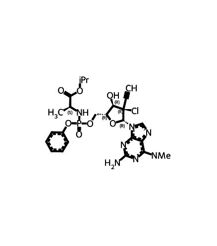 C#C[C@@]1(Cl)[C@H](O)[C@@H](COP(=O)(N[C@@H](C)C(=O)OC(C)C)Oc2ccccc2)O[C@H]1n1cnc2c(NC)nc(N)nc21